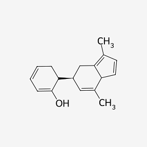 CC1=C[C@@H](C2CC=CC=C2O)CC2=C(C)C=CC12